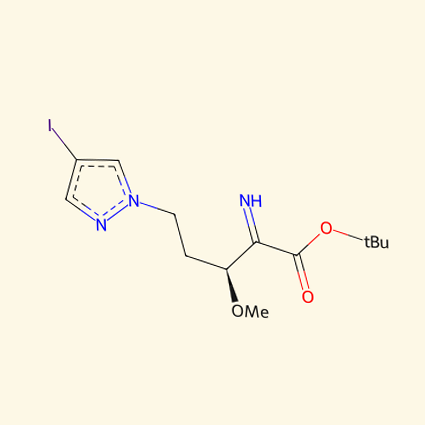 CO[C@@H](CCn1cc(I)cn1)C(=N)C(=O)OC(C)(C)C